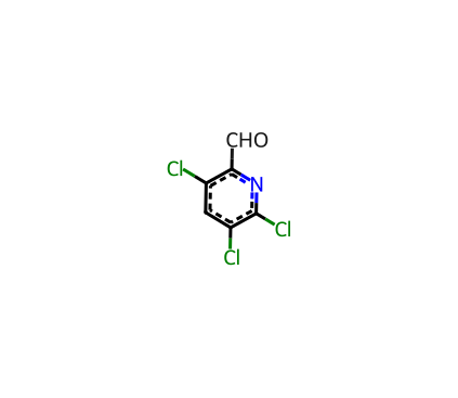 O=Cc1nc(Cl)c(Cl)cc1Cl